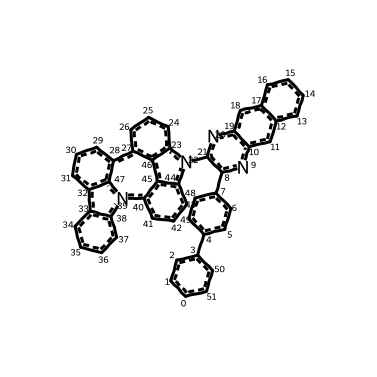 c1ccc(-c2ccc(-c3nc4cc5ccccc5cc4nc3-n3c4cccc5c6cccc7c8ccccc8n(c8cccc3c8c54)c67)cc2)cc1